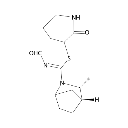 C[C@@H]1[C@@H]2CCC(C2)N1/C(=N/C=O)SC1CCCNC1=O